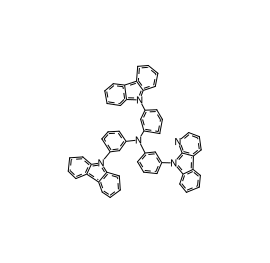 c1cc(N(c2cccc(-n3c4ccccc4c4ccccc43)c2)c2cccc(-n3c4ccccc4c4cccnc43)c2)cc(-n2c3ccccc3c3ccccc32)c1